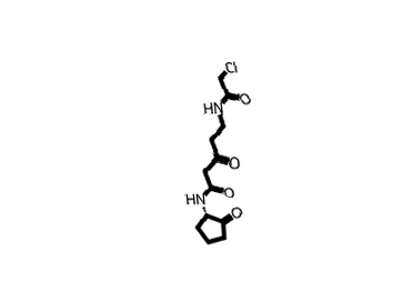 O=C(CCNC(=O)CCl)CC(=O)N[C@H]1CCCC1=O